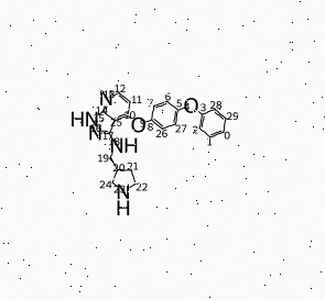 c1ccc(Oc2ccc(Oc3ccnc4[nH]nc(NC[C@H]5CCNC5)c34)cc2)cc1